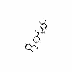 Cc1ccc(NC(=O)C2CCN(C(=O)c3ccccc3C)CC2)cc1C